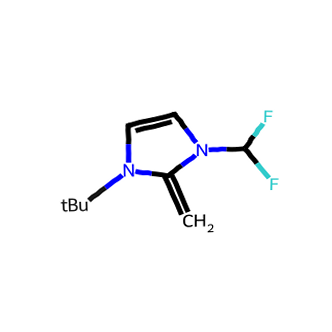 C=C1N(C(F)F)C=CN1C(C)(C)C